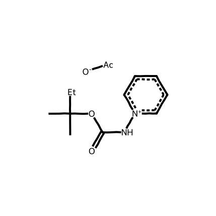 CC(=O)[O-].CCC(C)(C)OC(=O)N[n+]1ccccc1